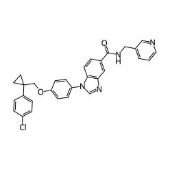 O=C(NCc1cccnc1)c1ccc2c(c1)ncn2-c1ccc(OCC2(c3ccc(Cl)cc3)CC2)cc1